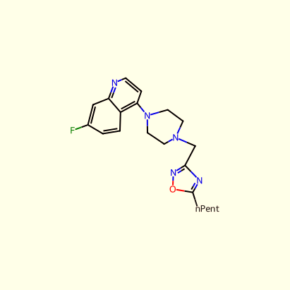 CCCCCc1nc(CN2CCN(c3ccnc4cc(F)ccc34)CC2)no1